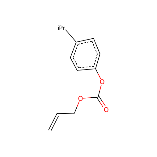 C=CCOC(=O)Oc1ccc(C(C)C)cc1